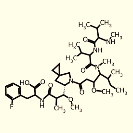 CCC(C)C(C(CC(=O)N1CC2(CC2)C[C@H]1C(OC)C(C)C(=O)NC(Cc1ccccc1F)C(=O)O)OC)N(C)C(=O)C(NC(=O)C(NC)C(C)C)C(C)C